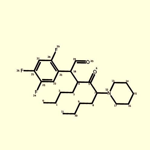 CCCCC(C(=O)C(CCCC)N1CCCCC1)C(C=O)c1cc(F)c(F)cc1F